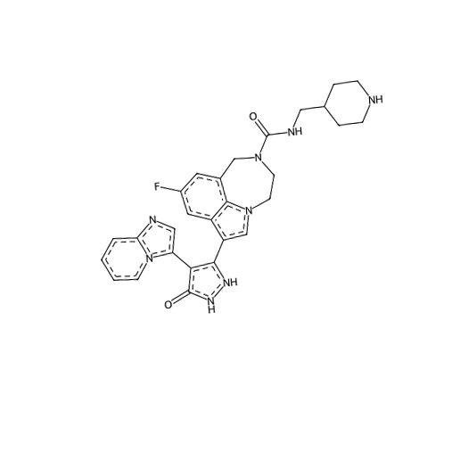 O=C(NCC1CCNCC1)N1CCn2cc(-c3[nH][nH]c(=O)c3-c3cnc4ccccn34)c3cc(F)cc(c32)C1